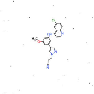 COc1cc(Nc2ccnc3ccc(Cl)cc23)cc(-c2cnn(CCC#N)c2)c1